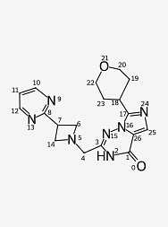 O=c1[nH]c(CN2CC(c3ncccn3)C2)nn2c(C3CCOCC3)ncc12